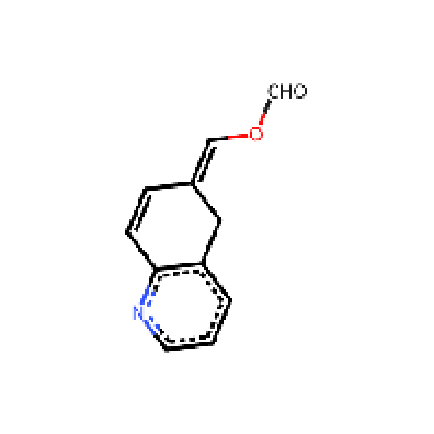 O=COC=C1C=Cc2ncccc2C1